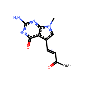 COC(=O)/C=C/c1cn(C)c2nc(N)[nH]c(=O)c12